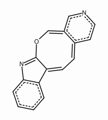 C1=C2C(=Nc3ccccc32)OC=c2cnccc2=C1